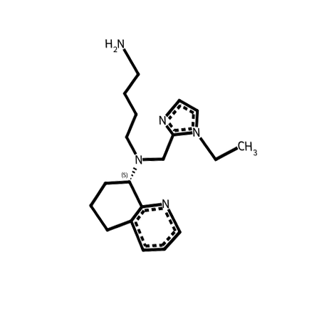 CCn1ccnc1CN(CCCCN)[C@H]1CCCc2cccnc21